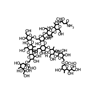 CC1C(N[C@H](C=O)CC(N)=O)OC(CO)C(OC2OC(CO)C(OC3OC(COC4OC(CO)C(O)C(O)C4OC4OC(CO)C(OC5OC(COC6(OC=O)CC(O)C(C)C(O)(C(O)CO)O6)C(O)C(O)C5O)C(O)C4C)C(O)C(OC4CC(CO)C(O)C(O)C4OC4OC(CO)C(OC5OC(COC6(OC=O)CC(O)C(C)C(C(O)C(O)CO)O6)C(O)C(O)C5O)C(O)C4C)C3O)C(O)C2C)C1O